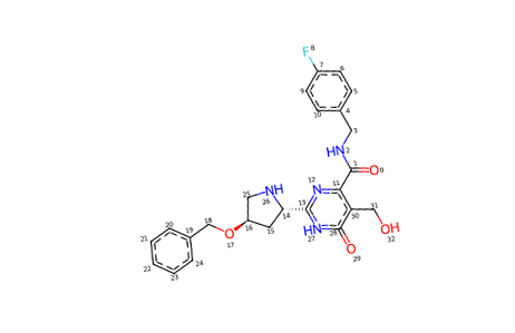 O=C(NCc1ccc(F)cc1)c1nc([C@@H]2C[C@@H](OCc3ccccc3)CN2)[nH]c(=O)c1CO